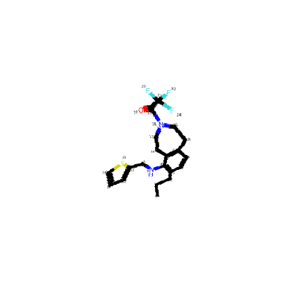 CCCc1ccc2c(c1NCc1cccs1)CCN(C(=O)C(F)(F)F)CC2